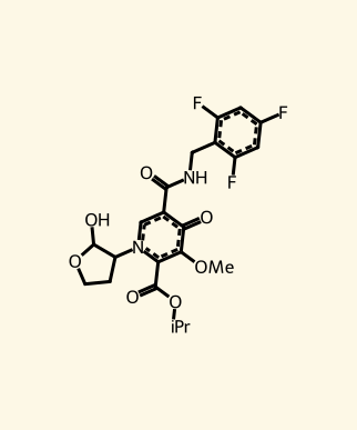 COc1c(C(=O)OC(C)C)n(C2CCOC2O)cc(C(=O)NCc2c(F)cc(F)cc2F)c1=O